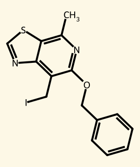 Cc1nc(OCc2ccccc2)c(CI)c2ncsc12